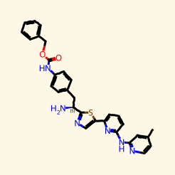 Cc1ccnc(Nc2cccc(-c3cnc([C@@H](N)Cc4ccc(NC(=O)OCc5ccccc5)cc4)s3)n2)c1